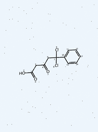 O=C(O)CC(=O)CC(Cl)(Cl)c1ccccc1